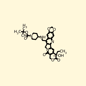 CC[C@@]1(O)C(=O)OCc2c1cc1n(c2=O)Cc2c-1nc1cc3c(cc1c2CNC1CCN(C(=O)OC(C)(C)C)CC1)OCO3